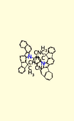 CC1(C)c2ccccc2-c2ccc3c4c(n(-c5cc(C#N)c(-n6c7ccc8ccccc8c7c7ccc8c(c76)C(C)(C)c6ccccc6-8)cc5C#N)c3c21)C=CC1=CC4C=CC=C1